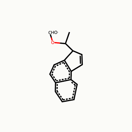 CC(O[C]=O)C1C=Cc2c1ccc1ccccc21